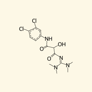 CN(C)C(=NC(=O)C(O)C(=O)Nc1ccc(Cl)c(Cl)c1)N(C)C